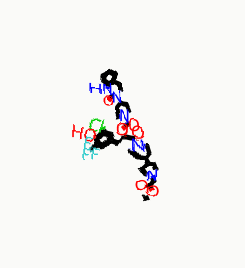 CCOC(=O)CN1CCC(C2CCN(C(=O)[C@@H](Cc3cc(Cl)c(O)c(C(F)(F)F)c3)OC(=O)N3CCC(N4CCc5ccccc5NC4=O)CC3)CC2)CC1